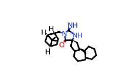 CC1(C)[C@H]2CC[C@@H](CN3C(=N)N[C@](CCC4CCCCC4)(CC4CCCCC4)C3=O)[C@@H]1C2